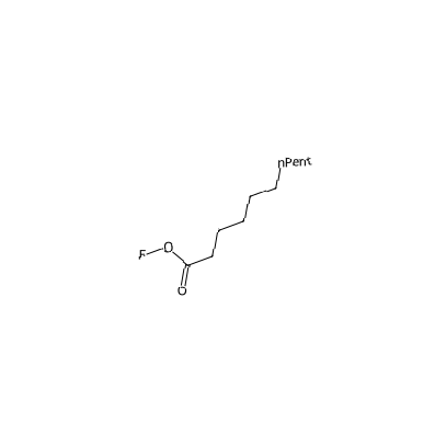 CCCCCCCCCCC(=O)OF